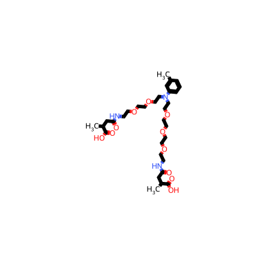 Cc1cccc(N(CCOCCOCCNC(=O)CC(C)C(=O)O)CCOCCOCCOCCNC(=O)CC(C)C(=O)O)c1